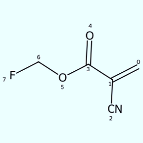 C=C(C#N)C(=O)OCF